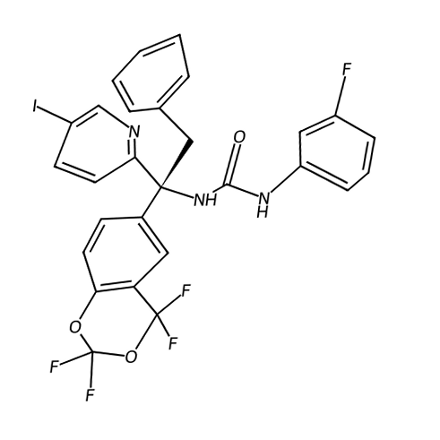 O=C(Nc1cccc(F)c1)N[C@](Cc1ccccc1)(c1ccc2c(c1)C(F)(F)OC(F)(F)O2)c1ccc(I)cn1